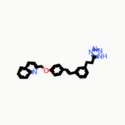 C(=Cc1cccc(CCc2nnn[nH]2)c1)c1ccc(OCc2ccc3ccccc3n2)cc1